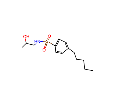 CCCCCc1ccc(S(=O)(=O)NCC(C)O)cc1